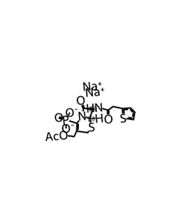 CC(=O)OCC1=C(P(=O)([O-])[O-])N2C(=O)[C@@H](NC(=O)Cc3cccs3)[C@@H]2SC1.[Na+].[Na+]